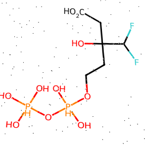 O=C(O)CC(O)(CCO[PH](O)(O)O[PH](O)(O)O)C(F)F